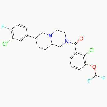 O=C(c1cccc(OC(F)F)c1Cl)N1CCN2CC(c3ccc(F)c(Cl)c3)CCC2C1